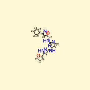 Cc1cc(Nc2cc(C3=CCCO3)[nH]n2)nc(NCc2cc(-c3ccccc3)no2)n1